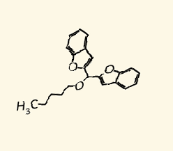 CCCCCOC(c1cc2ccccc2o1)c1cc2ccccc2o1